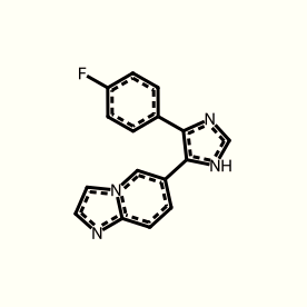 Fc1ccc(-c2nc[nH]c2-c2ccc3nccn3c2)cc1